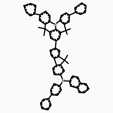 CC1(C)c2cc(-c3cc4c5c(c3)C(C)(C)c3cc(-c6ccccc6)ccc3N5c3ccc(-c5ccccc5)cc3C4(C)C)ccc2-c2ccc(N(c3ccc(-c4ccccc4)cc3)c3ccc4ccccc4c3)cc21